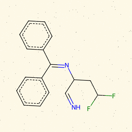 N=CC(CC(F)F)N=C(c1ccccc1)c1ccccc1